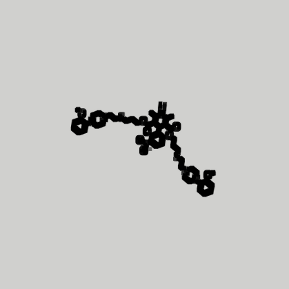 COc1ccccc1N1CCN(CCSCCCOC(=O)C2=C(C)NC(C)=C(C(=O)OCCCSCCN3CCN(c4ccccc4OC)CC3)C2c2cccc([N+](=O)[O-])c2)CC1